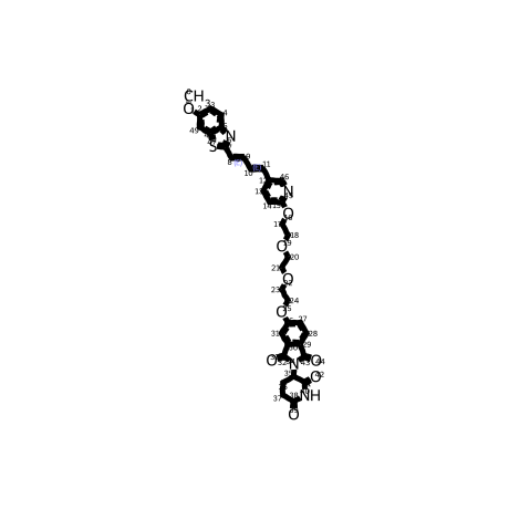 COc1ccc2nc(/C=C/C=C/c3ccc(OCCOCCOCCOc4ccc5c(c4)C(=O)N(C4CCC(=O)NC4=O)C5=O)nc3)sc2c1